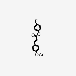 CC(=O)Oc1ccc(/C=C/C(=O)Oc2ccc(F)cc2)cc1